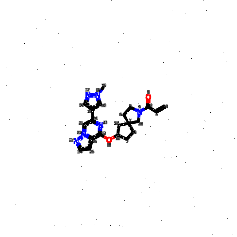 C=CC(=O)N1CC[C@]2(CCC(Oc3nc(-c4cnn(C)c4)cn4nccc34)C2)C1